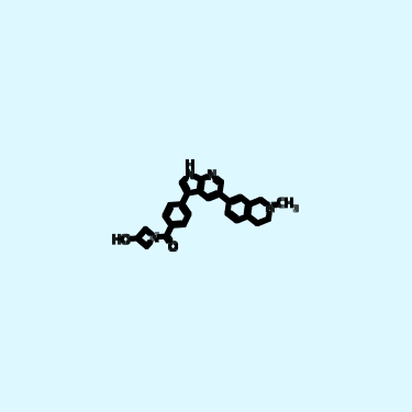 CN1CCc2ccc(-c3cnc4[nH]cc(-c5ccc(C(=O)N6CC(O)C6)cc5)c4c3)cc2C1